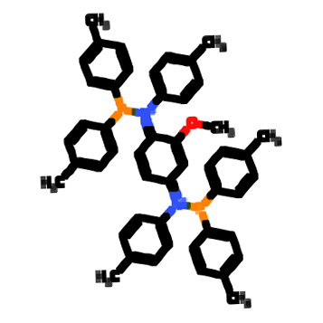 COC1=CC(=[N+](c2ccc(C)cc2)P(c2ccc(C)cc2)c2ccc(C)cc2)C=CC1=[N+](c1ccc(C)cc1)P(c1ccc(C)cc1)c1ccc(C)cc1